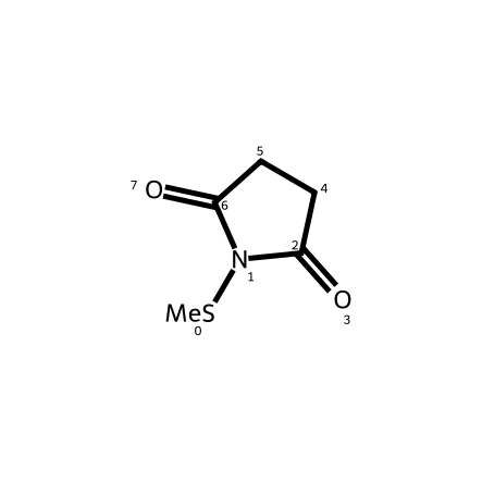 CSN1C(=O)CCC1=O